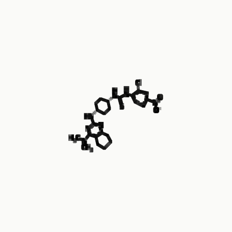 CN(C)c1nc(N[C@H]2CC[C@@H](NC(=S)Nc3ccc([N+](=O)[O-])cc3Cl)CC2)nc2c1CCCC2